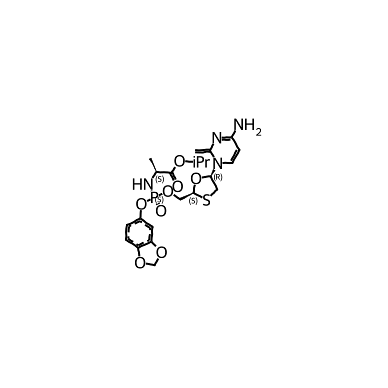 C=C1N=C(N)C=CN1[C@H]1CS[C@@H](CO[P@@](=O)(N[C@@H](C)C(=O)OC(C)C)Oc2ccc3c(c2)OCO3)O1